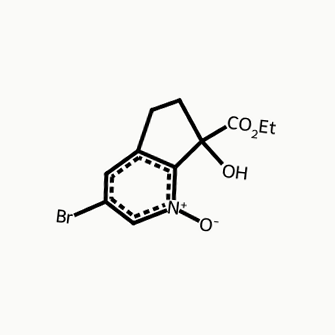 CCOC(=O)C1(O)CCc2cc(Br)c[n+]([O-])c21